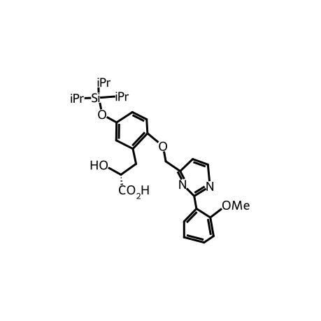 COc1ccccc1-c1nccc(COc2ccc(O[Si](C(C)C)(C(C)C)C(C)C)cc2C[C@@H](O)C(=O)O)n1